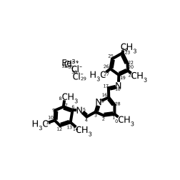 Cc1cc(C=Nc2c(C)cc(C)cc2C)nc(C=Nc2c(C)cc(C)cc2C)c1.[Cl-].[Cl-].[Cl-].[Fe+3]